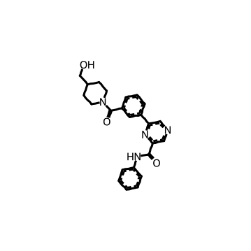 O=C(Nc1ccccc1)c1cncc(-c2cccc(C(=O)N3CCC(CO)CC3)c2)n1